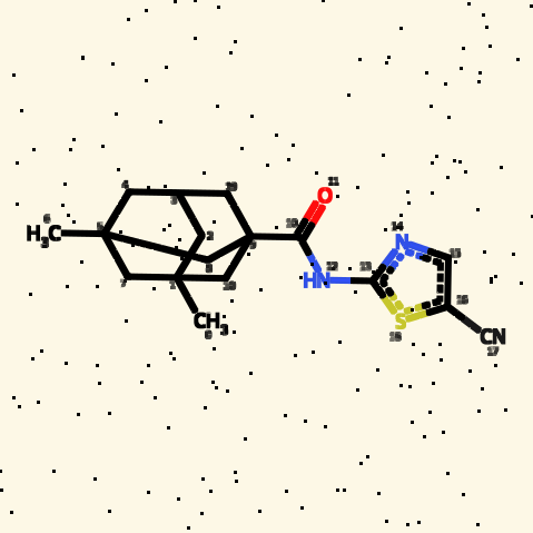 CC12CC3CC(C)(C1)CC(C(=O)Nc1ncc(C#N)s1)(C3)C2